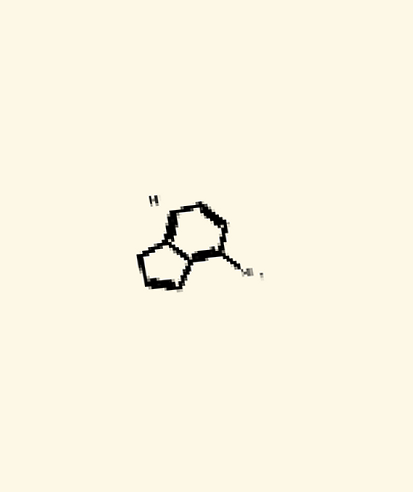 Nc1cccc2c1C=CC2.[H+]